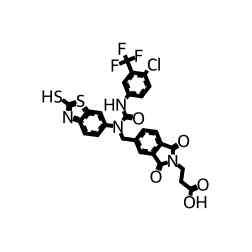 O=C(O)CCN1C(=O)c2ccc(CN(C(=O)Nc3ccc(Cl)c(C(F)(F)F)c3)c3ccc4nc(S)sc4c3)cc2C1=O